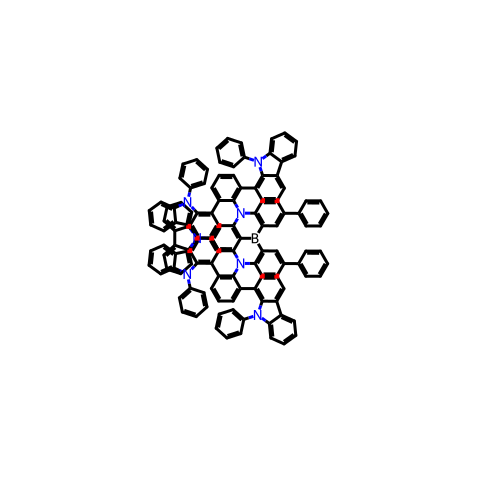 c1ccc(-c2ccc3c(c2)B2c4cc(-c5ccccc5)ccc4N(c4c(-c5cccc6c7ccccc7n(-c7ccccc7)c56)cccc4-c4cccc5c6ccccc6n(-c6ccccc6)c45)c4cc(-n5c6ccccc6c6ccccc65)cc(c42)N3c2c(-c3cccc4c5ccccc5n(-c5ccccc5)c34)cccc2-c2cccc3c4ccccc4n(-c4ccccc4)c23)cc1